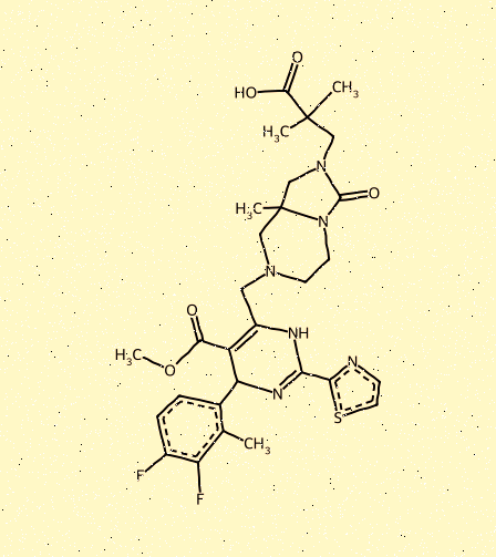 COC(=O)C1=C(CN2CCN3C(=O)N(CC(C)(C)C(=O)O)CC3(C)C2)NC(c2nccs2)=NC1c1ccc(F)c(F)c1C